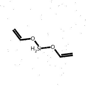 C=CO[SiH2]OC=C